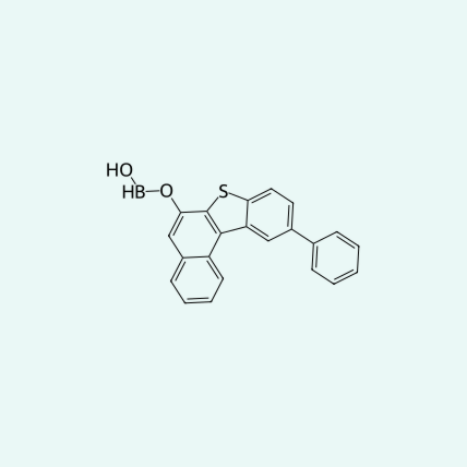 OBOc1cc2ccccc2c2c1sc1ccc(-c3ccccc3)cc12